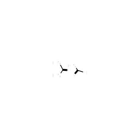 NC(=O)Cl.NC(N)=O